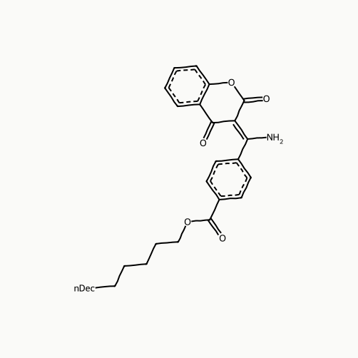 CCCCCCCCCCCCCCCOC(=O)c1ccc(/C(N)=C2/C(=O)Oc3ccccc3C2=O)cc1